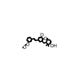 COCOc1cccc(C=Cc2cc3c(c(OC)c2)OC2(C)CC=C(O)C(C)(C)C2C3)c1